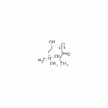 CCC(=O)O.C[N+](C)(C)CCO.[Cl-]